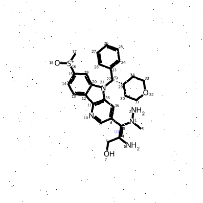 CN(N)/C(=C(\N)CO)c1cnc2c3ccc([S+](C)[O-])cc3n([C@H](c3ccccc3)C3CCOCC3)c2c1